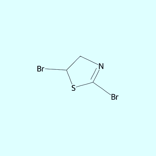 BrC1=NCC(Br)S1